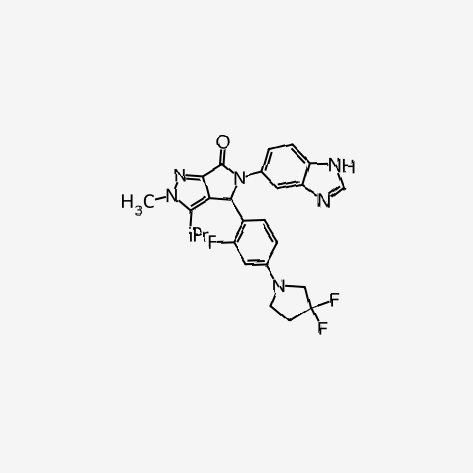 CC(C)c1c2c(nn1C)C(=O)N(c1ccc3[nH]cnc3c1)C2c1ccc(N2CCC(F)(F)C2)cc1F